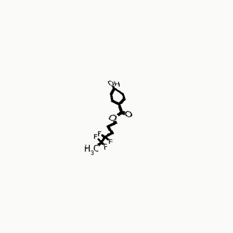 CC(F)(F)C(F)(F)CCCOC(=O)C1CCC(O)CC1